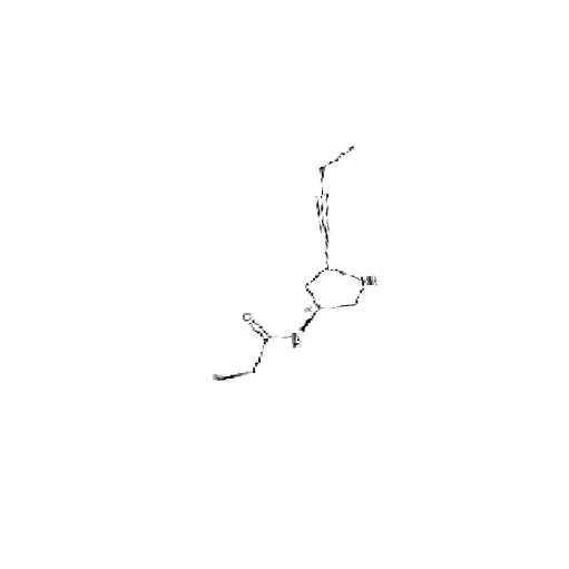 CCC#CC1C[C@H](NC(=O)CC)CN1